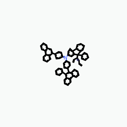 C=C/C=C(\C=C)C1(c2ccccc2)c2ccccc2-c2ccc(N(c3ccc(-c4cc5ccccc5c5ccccc45)cc3)c3ccc(-c4c(-c5ccccc5)c5ccccc5c5ccccc45)cc3)cc21